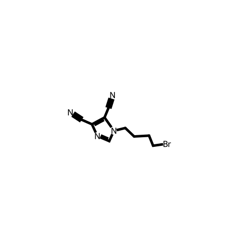 N#Cc1ncn(CCCCBr)c1C#N